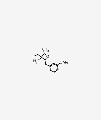 COc1cccc(CC2OC(C)C2(C)CF)c1